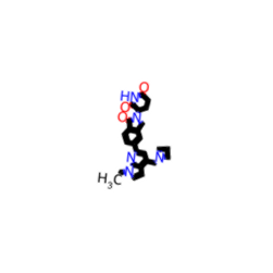 CCn1ccc2c(CN3CCC3)cc(-c3ccc4c(c3)CN(C3CCC(=O)NC3=O)C4=O)nc21